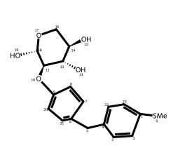 CSc1ccc(Cc2ccc(O[C@@H]3[C@@H](O)[C@H](O)CO[C@H]3O)cc2)cc1